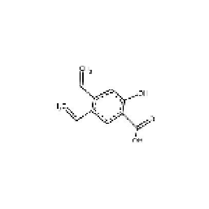 C=Cc1cc(O)c(C(=O)O)cc1C=C